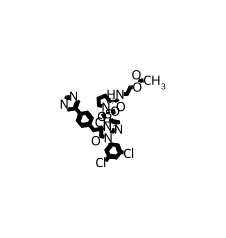 CC(=O)OCCNC(=O)[C@@H]1CCCN1S(=O)(=O)c1cnc2n1[C@](C)(Cc1ccc(-c3cncnc3)cc1)C(=O)N2c1cc(Cl)cc(Cl)c1